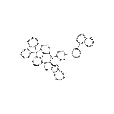 c1ccc(C2(c3ccccc3)c3ccccc3-c3c(N(c4ccc(-c5cccc(-c6cccc7ccccc67)c5)cc4)c4cccc5c4sc4ccccc45)cccc32)cc1